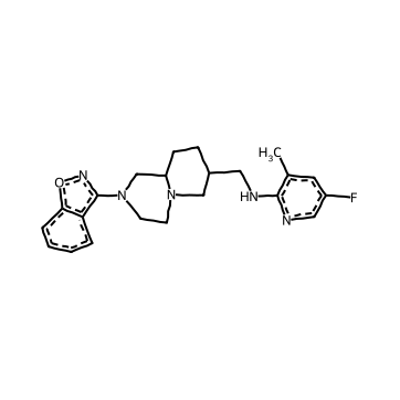 Cc1cc(F)cnc1NCC1CCC2CN(c3noc4ccccc34)CCN2C1